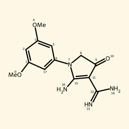 COc1cc(OC)cc(N2CC(=O)C(C(=N)N)=C2N)c1